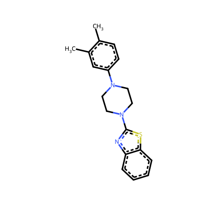 Cc1ccc(N2CCN(c3nc4ccccc4s3)CC2)cc1C